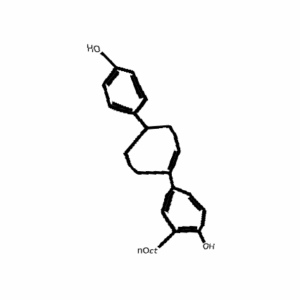 CCCCCCCCc1cc(C2=CCC(c3ccc(O)cc3)CC2)ccc1O